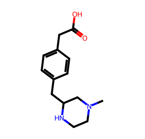 CN1CCNC(Cc2ccc(CC(=O)O)cc2)C1